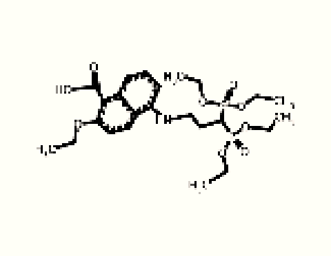 CCOc1ccc2c(NCCC(P(=O)(OCC)OCC)P(=O)(OCC)OCC)cccc2c1C(=O)O